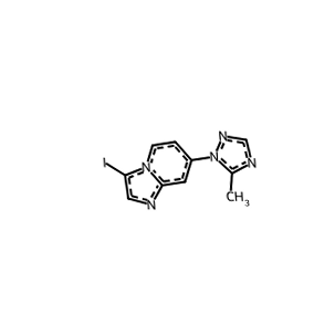 Cc1ncnn1-c1ccn2c(I)cnc2c1